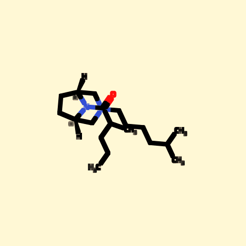 CCCC(C)C(=O)N1[C@@H]2CC[C@H]1CN(CCCCC(C)C)C2